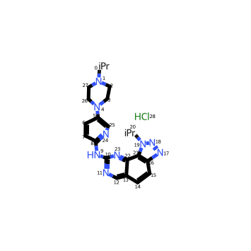 CC(C)N1CCN(c2ccc(Nc3ncc4ccc5nnn(C(C)C)c5c4n3)nc2)CC1.Cl